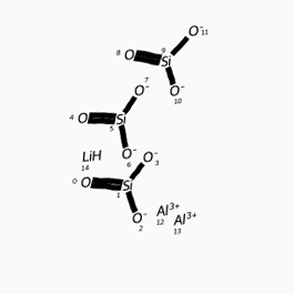 O=[Si]([O-])[O-].O=[Si]([O-])[O-].O=[Si]([O-])[O-].[Al+3].[Al+3].[LiH]